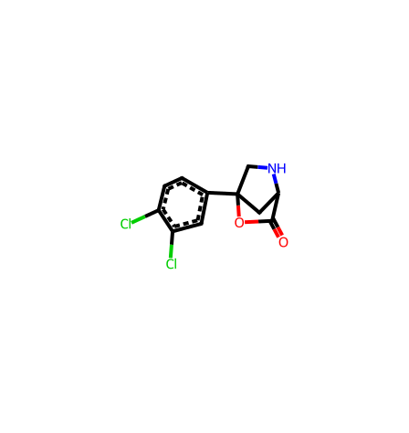 O=C1OC2(c3ccc(Cl)c(Cl)c3)CNC1C2